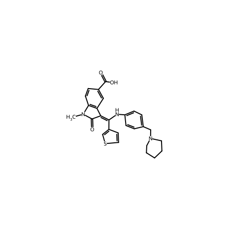 CN1C(=O)C(=C(Nc2ccc(CN3CCCCC3)cc2)c2ccsc2)c2cc(C(=O)O)ccc21